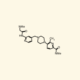 CNCC(=O)Nc1cc(CN2CCN(c3ccc(C(=O)NC)nc3C)CC2)ccn1